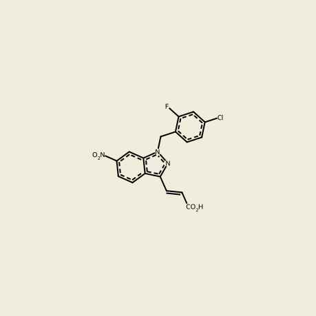 O=C(O)/C=C/c1nn(Cc2ccc(Cl)cc2F)c2cc([N+](=O)[O-])ccc12